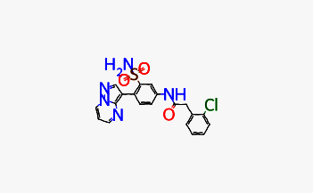 NS(=O)(=O)c1cc(NC(=O)Cc2ccccc2Cl)ccc1-c1cnn2cccnc12